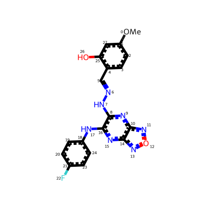 COc1ccc(C=NNc2nc3nonc3nc2Nc2ccc(F)cc2)c(O)c1